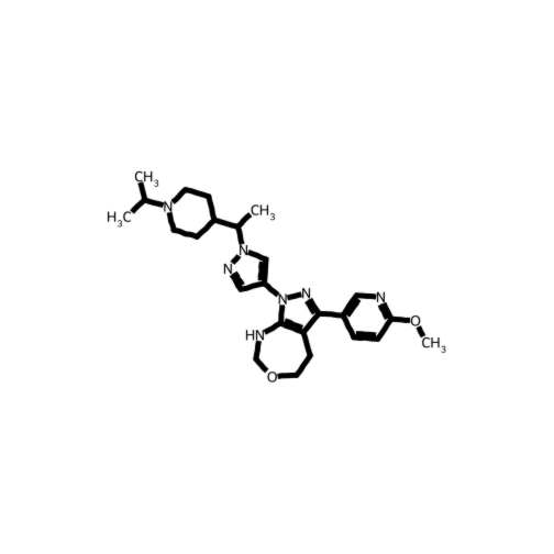 COc1ccc(-c2nn(-c3cnn(C(C)C4CCN(C(C)C)CC4)c3)c3c2CCOCN3)cn1